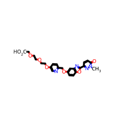 Cn1nc(-c2nc3cc(OCc4ccc(OCCOCCOCC(=O)O)cn4)ccc3o2)ccc1=O